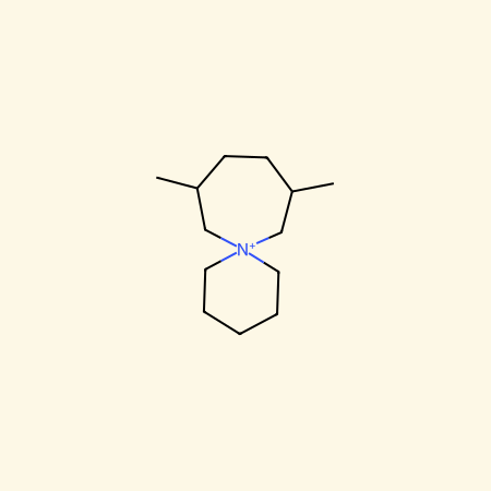 CC1CCC(C)C[N+]2(CCCCC2)C1